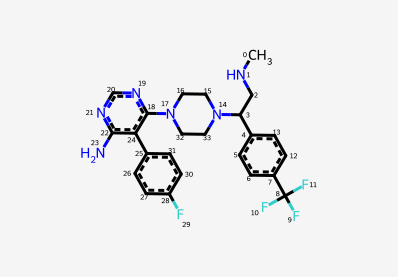 CNCC(c1ccc(C(F)(F)F)cc1)N1CCN(c2ncnc(N)c2-c2ccc(F)cc2)CC1